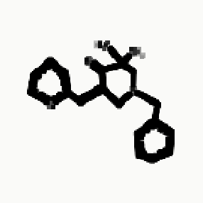 CC1(C)CN(Cc2ccccc2)C/C(=C/c2ccccn2)C1=O